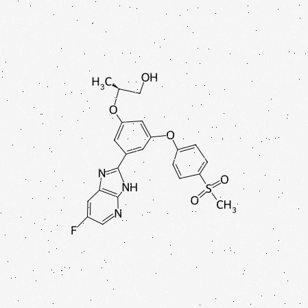 C[C@@H](CO)Oc1cc(Oc2ccc(S(C)(=O)=O)cc2)cc(-c2nc3cc(F)cnc3[nH]2)c1